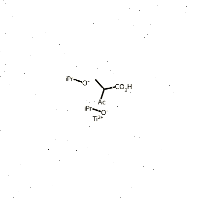 CC(=O)C(C)C(=O)O.CC(C)[O-].CC(C)[O-].[Ti+2]